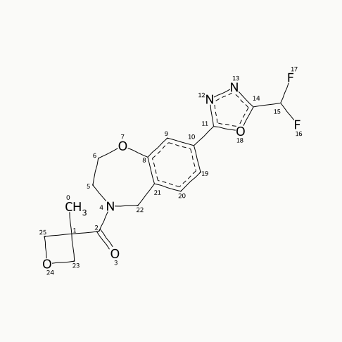 CC1(C(=O)N2CCOc3cc(-c4nnc(C(F)F)o4)ccc3C2)COC1